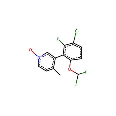 Cc1cc[n+]([O-])cc1-c1c(OC(F)F)ccc(Cl)c1F